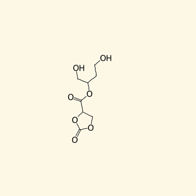 O=C1OCC(C(=O)OC(CO)CCO)O1